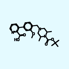 COc1cc(-c2cccnc2C(=O)O)ccc1CN1CC(C)N(C(=O)OC(C)(C)C)C(C)C1